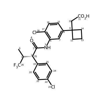 CC([C@H](C(=O)Nc1cc(C2(CC(=O)O)CCC2)ccc1Cl)c1ccc(Cl)cc1)C(F)(F)F